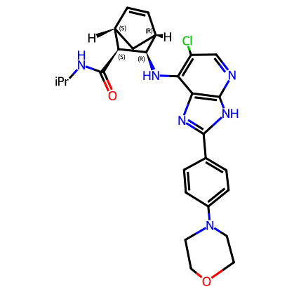 CC(C)NC(=O)[C@@H]1[C@H](Nc2c(Cl)cnc3[nH]c(-c4ccc(N5CCOCC5)cc4)nc23)[C@H]2C=C[C@@H]1C2